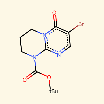 CC(C)(C)OC(=O)N1CCCn2c1ncc(Br)c2=O